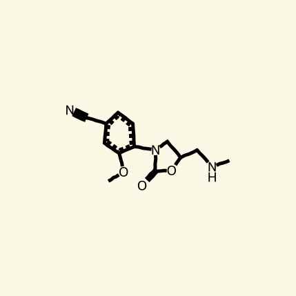 CNCC1CN(c2ccc(C#N)cc2OC)C(=O)O1